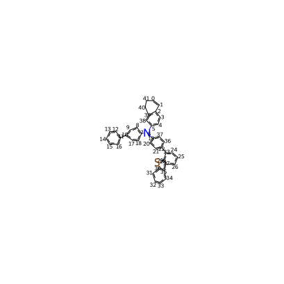 C1=Cc2ccc(N(c3ccc(-c4ccccc4)cc3)c3ccc(-c4cccc5c4sc4ccccc45)cc3)cc2CC1